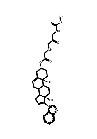 CC(C)(C)OC(=O)NCC(=O)CNCC(=O)O[C@H]1CC[C@@]2(C)C(=CCC3C2CC[C@]2(C)C(n4cnc5ccccc54)=CCC32)C1